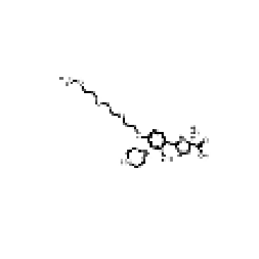 C1CNCCN1.COCCOCCOCCOc1ccc(C2=N[C@@](C)(C(=O)O)CS2)c(O)c1